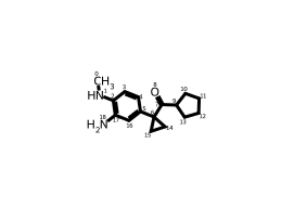 CNc1ccc(C2(C(=O)C3CCCC3)CC2)cc1N